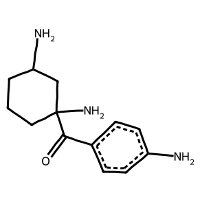 Nc1ccc(C(=O)C2(N)CCCC(N)C2)cc1